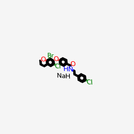 O=C(NCCc1ccc(Cl)cc1)c1ccc(Oc2c(Cl)cc3c(c2Br)OCCC3)cc1.[NaH]